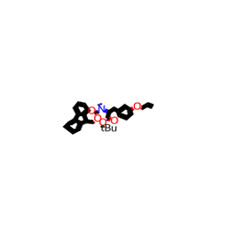 C=CCOc1cccc(CC(C(=O)OC(C)(C)C)N(C)C(=O)OCC2c3ccccc3-c3ccccc32)c1